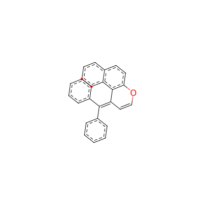 C1=CC(=C(c2ccccc2)c2ccccc2)c2c(ccc3ccccc23)O1